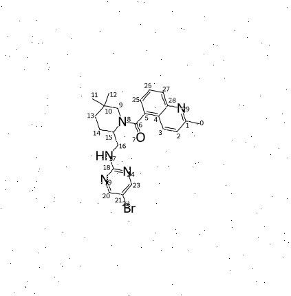 Cc1ccc2c(C(=O)N3CC(C)(C)CCC3CNc3ncc(Br)cn3)cccc2n1